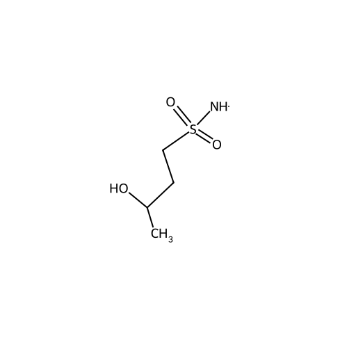 CC(O)CCS([NH])(=O)=O